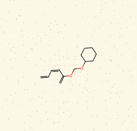 C=C/C=C\C(=C)OCOC1CCCCC1